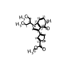 CCC(CC)n1cc(-c2csc(C(=O)OC)c2)c2c(=O)[nH]ccc21